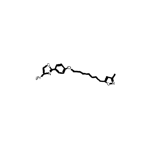 Cc1cc(CCCCCCCOc2ccc(C3=NC(C(C)C)CO3)cc2)on1